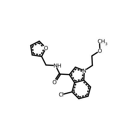 COCCn1cc(C(=O)NCc2ccco2)c2c(Cl)cccc21